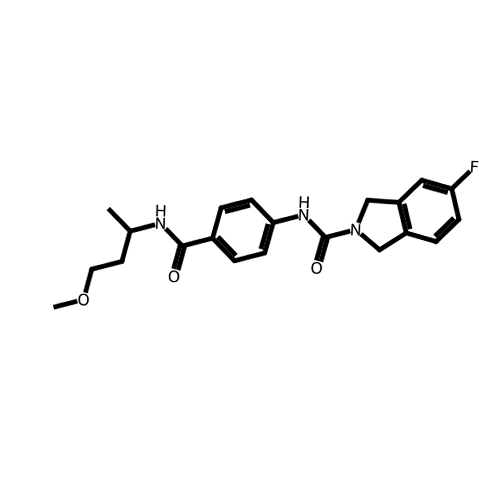 COCCC(C)NC(=O)c1ccc(NC(=O)N2Cc3ccc(F)cc3C2)cc1